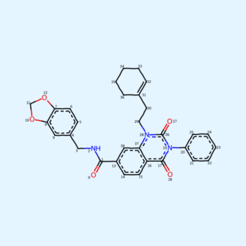 O=C(NCc1ccc2c(c1)OCO2)c1ccc2c(=O)n(-c3ccccc3)c(=O)n(CCC3=CCCCC3)c2c1